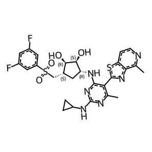 Cc1nc(NC2CC2)nc(N[C@@H]2C[C@H](CS(=O)(=O)c3cc(F)cc(F)c3)[C@@H](O)[C@H]2O)c1-c1nc2c(C)nccc2s1